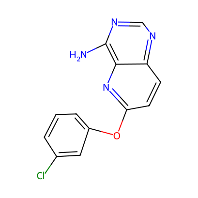 Nc1ncnc2ccc(Oc3cccc(Cl)c3)nc12